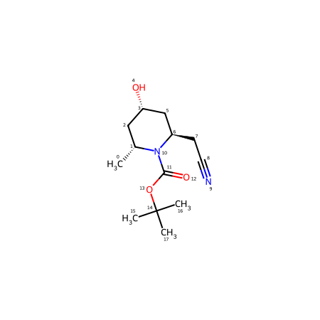 C[C@@H]1C[C@H](O)C[C@@H](CC#N)N1C(=O)OC(C)(C)C